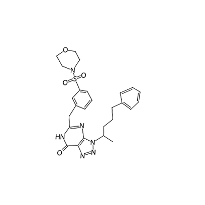 CC(CCCc1ccccc1)n1nnc2c(=O)[nH]c(Cc3cccc(S(=O)(=O)N4CCOCC4)c3)nc21